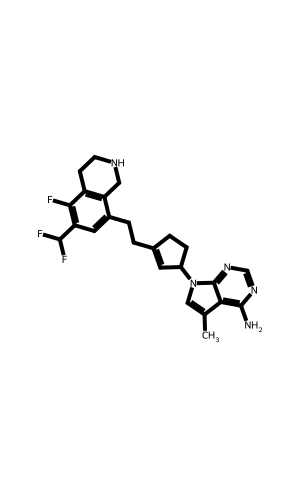 Cc1cn(C2C=C(CCc3cc(C(F)F)c(F)c4c3CNCC4)CC2)c2ncnc(N)c12